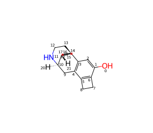 Oc1cc2c(c3c1CC3)C[C@H]1NCC[C@@]23CCCC[C@@H]13